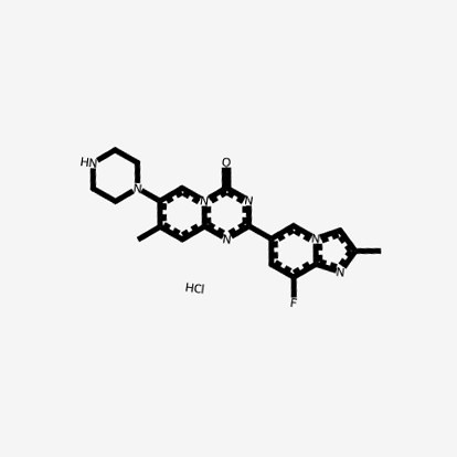 Cc1cn2cc(-c3nc(=O)n4cc(N5CCNCC5)c(C)cc4n3)cc(F)c2n1.Cl